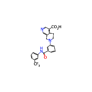 O=C(Nc1cccc(C(F)(F)F)c1)c1cccc(N2CCc3c(cncc3C(=O)O)C2)c1